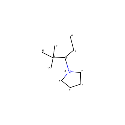 CCC(N1CCCC1)C(C)(C)C